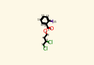 O=C(OCCC(Cl)CCl)c1ccccc1I